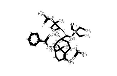 CC[Si](CC)(CC)O[C@@H](C[C@H]1OCC1(C)OC(C)=O)[C@]1(C)C[C@@H](OC(=O)c2ccccc2)[C@]2(O)CCC(C)=C([C@@H](OC(C)=O)[C@H]1O)C2(C)C